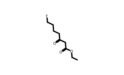 CCOC(=O)CC(=O)CCCCF